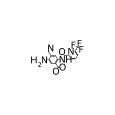 C/N=C/c1cc(NC(=O)c2cccc(C(F)(F)F)n2)c(C(=O)OC)cc1N